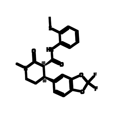 CSc1ccccc1NC(=O)[C@H]1C(=O)N(C)CC[C@@H]1c1ccc2c(c1)OC(F)(F)O2